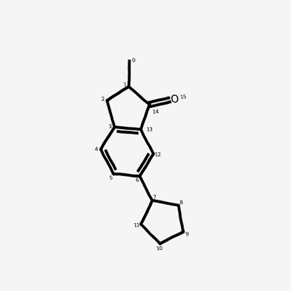 CC1Cc2ccc(C3CCCC3)cc2C1=O